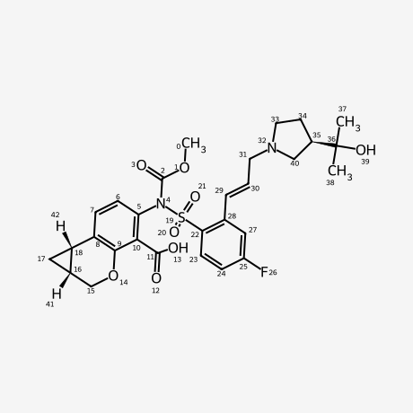 COC(=O)N(c1ccc2c(c1C(=O)O)OC[C@@H]1C[C@H]21)S(=O)(=O)c1ccc(F)cc1C=CCN1CC[C@@H](C(C)(C)O)C1